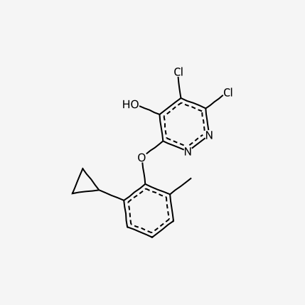 Cc1cccc(C2CC2)c1Oc1nnc(Cl)c(Cl)c1O